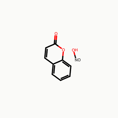 O=NO.O=c1ccc2ccccc2o1